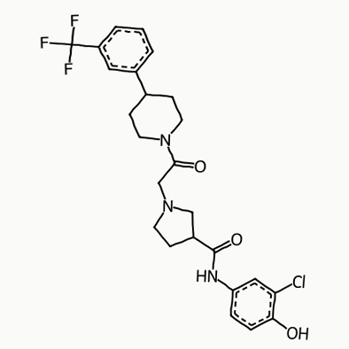 O=C(Nc1ccc(O)c(Cl)c1)C1CCN(CC(=O)N2CCC(c3cccc(C(F)(F)F)c3)CC2)C1